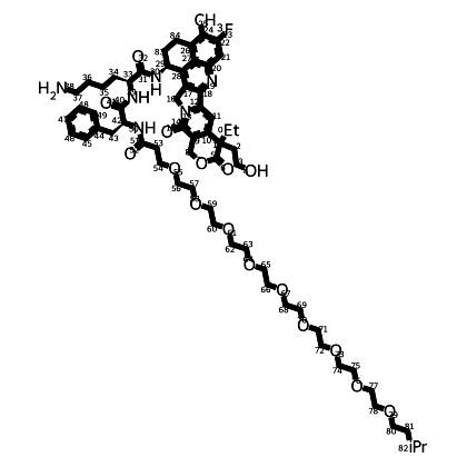 CCC1(CCO)C(=O)OCc2c1cc1n(c2=O)Cc2c-1nc1cc(F)c(C)c3c1c2[C@@H](NC(=O)[C@H](CCCCN)NC(=O)[C@H](Cc1ccccc1)NC(=O)CCOCCOCCOCCOCCOCCOCCOCCOCCOCCC(C)C)CC3